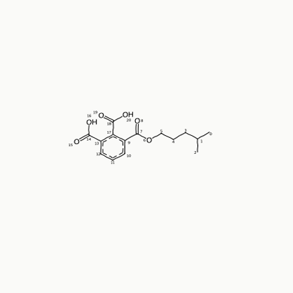 CC(C)CCCOC(=O)c1cccc(C(=O)O)c1C(=O)O